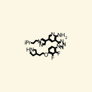 CC(C)CCn1cc(-c2cnc(N)c(-c3nnnn3-c3ccc(OCCC4CCNC4)c(F)c3F)c2)cn1